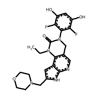 CCN1C(=O)N(c2c(F)c(O)cc(O)c2F)Cc2cnc3[nH]c(CN4CCOCC4)cc3c21